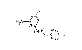 Cc1ccc(C=NNc2cc(Cl)nc(N)n2)cc1